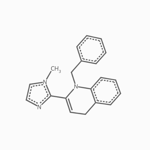 Cn1ccnc1C1=CCc2ccccc2N1Cc1ccccc1